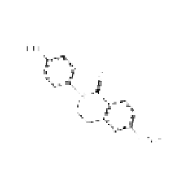 CCC(C)c1ccc(N2CCc3cc(OC)ccc3C2=O)cc1